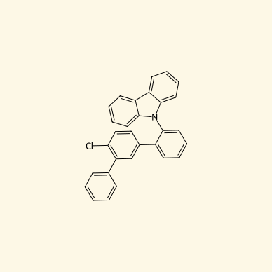 Clc1ccc(-c2ccccc2-n2c3ccccc3c3ccccc32)cc1-c1ccccc1